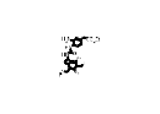 CCOC(=O)Cc1ccc(NC(=O)NC2Cc3c(CNI)c(CC)c(CI)c(CC)c32)c(N)c1